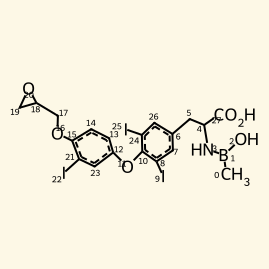 CB(O)NC(Cc1cc(I)c(Oc2ccc(OCC3CO3)c(I)c2)c(I)c1)C(=O)O